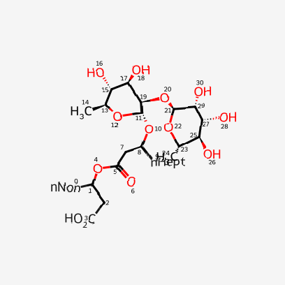 CCCCCCCCCC(CC(=O)O)OC(=O)CC(CCCCCCC)O[C@@H]1O[C@@H](C)[C@H](O)[C@@H](O)[C@H]1O[C@@H]1O[C@@H](C)[C@H](O)[C@@H](O)[C@H]1O